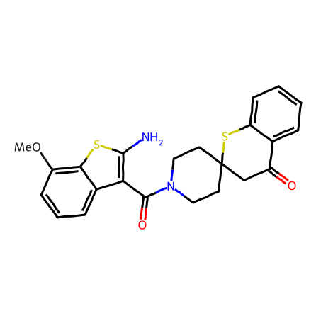 COc1cccc2c(C(=O)N3CCC4(CC3)CC(=O)c3ccccc3S4)c(N)sc12